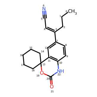 CCCC(=CC#N)c1ccc2c(c1)C1(CCCCC1)OC(=O)N2